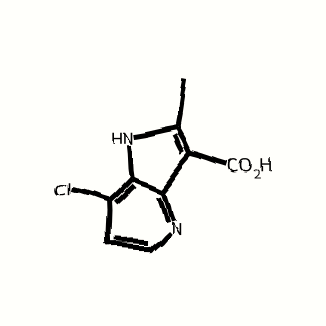 Cc1[nH]c2c(Cl)ccnc2c1C(=O)O